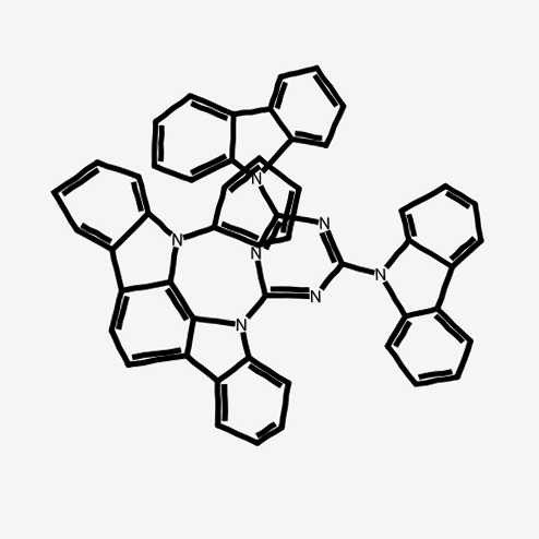 c1ccc(-n2c3ccccc3c3ccc4c5ccccc5n(-c5nc(-n6c7ccccc7c7ccccc76)nc(-n6c7ccccc7c7ccccc76)n5)c4c32)cc1